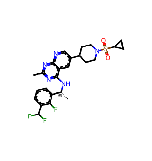 Cc1nc(N[C@H](C)c2cccc(C(F)F)c2F)c2cc(C3CCN(S(=O)(=O)C4CC4)CC3)cnc2n1